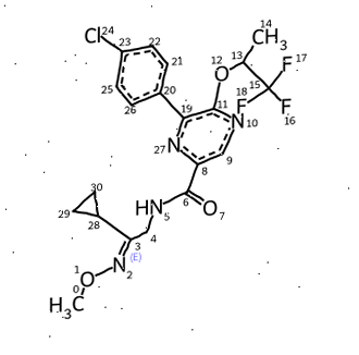 CO/N=C(/CNC(=O)c1cnc(OC(C)C(F)(F)F)c(-c2ccc(Cl)cc2)n1)C1CC1